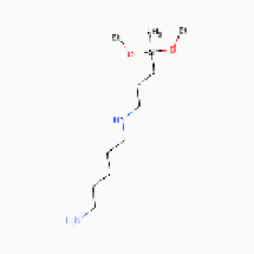 CCO[Si](C)(CCCNCCCCCN)OCC